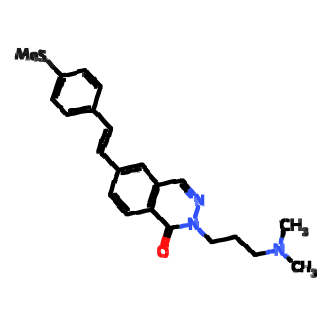 CSc1ccc(C=Cc2ccc3c(=O)n(CCCN(C)C)ncc3c2)cc1